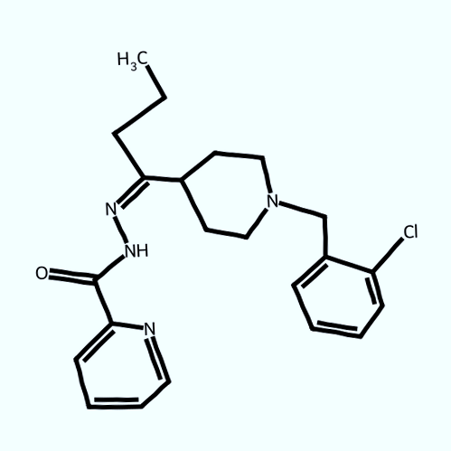 CCCC(=NNC(=O)c1ccccn1)C1CCN(Cc2ccccc2Cl)CC1